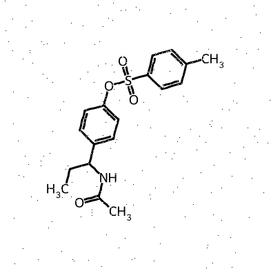 CCC(NC(C)=O)c1ccc(OS(=O)(=O)c2ccc(C)cc2)cc1